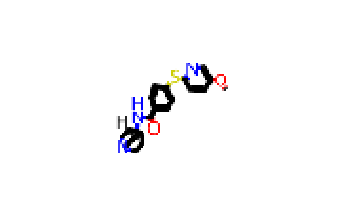 COc1ccc(Sc2ccc(C(=O)N[C@H]3CN4CCC3CC4)cc2)nc1